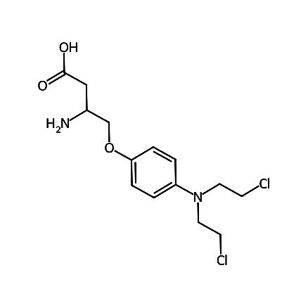 NC(COc1ccc(N(CCCl)CCCl)cc1)CC(=O)O